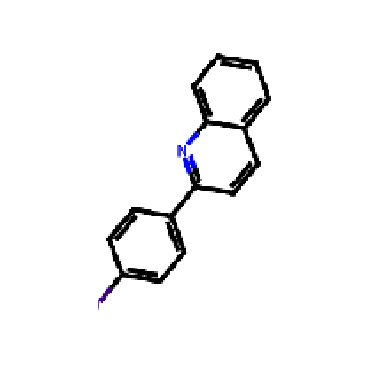 Ic1ccc(-c2ccc3ccccc3n2)cc1